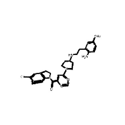 COc1ccc(N)c(CCNC2CCN(c3cc(C(=O)N4CCc5cc(Cl)ccc54)ncn3)CC2)c1